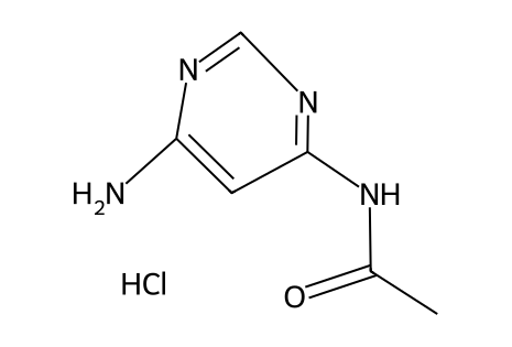 CC(=O)Nc1cc(N)ncn1.Cl